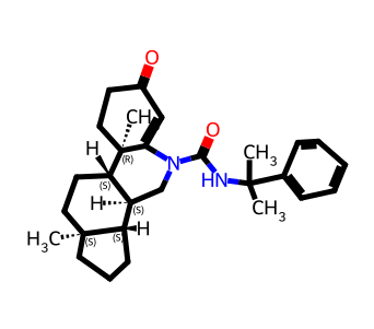 CC(C)(NC(=O)N1C[C@H]2[C@@H]3CCC[C@@]3(C)CC[C@@H]2[C@@]2(C)CCC(=O)C=C12)c1ccccc1